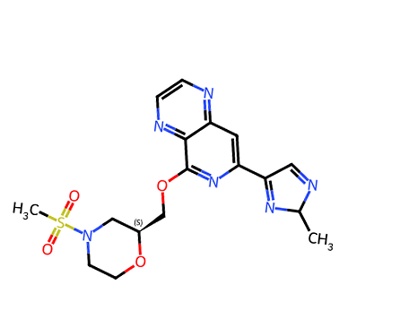 CC1N=CC(c2cc3nccnc3c(OC[C@@H]3CN(S(C)(=O)=O)CCO3)n2)=N1